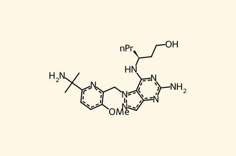 CCC[C@@H](CCO)Nc1nc(N)nc2cnn(Cc3nc(C(C)(C)N)ccc3OC)c12